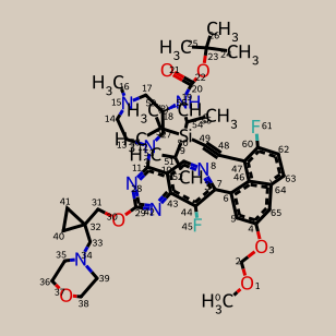 COCOc1cc(-c2ncc3c(N4CCN(C)C[C@@H](NC(=O)OC(C)(C)C)C4)nc(OCC4(CN5CCOCC5)CC4)nc3c2F)c2c(C#C[Si](C(C)C)(C(C)C)C(C)C)c(F)ccc2c1